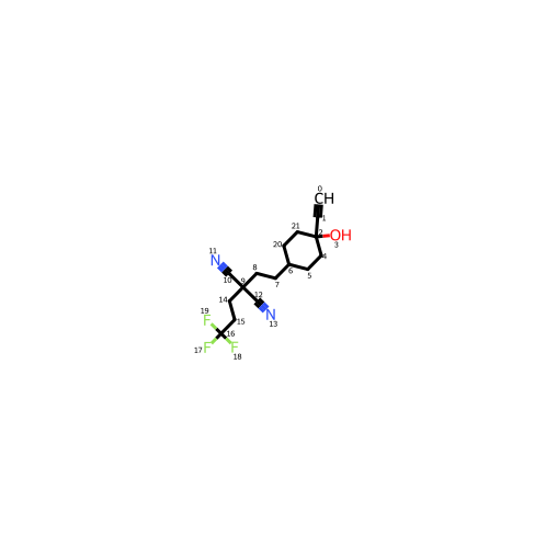 C#CC1(O)CCC(CCC(C#N)(C#N)CCC(F)(F)F)CC1